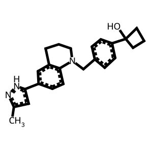 Cc1cc(-c2ccc3c(c2)CCCN3Cc2ccc(C3(O)CCC3)cc2)[nH]n1